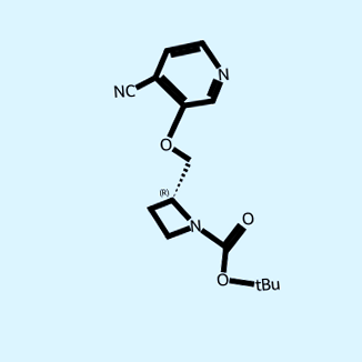 CC(C)(C)OC(=O)N1CC[C@@H]1COc1cnccc1C#N